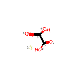 O=C(O)C(=O)O.[S]